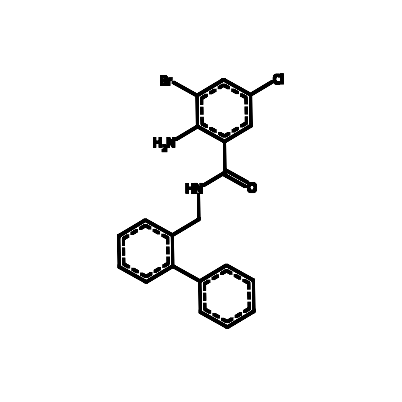 Nc1c(Br)cc(Cl)cc1C(=O)NCc1ccccc1-c1ccccc1